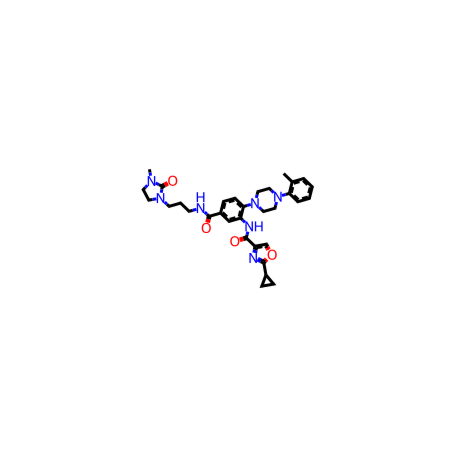 Cc1ccccc1N1CCN(c2ccc(C(=O)NCCCN3CCN(C)C3=O)cc2NC(=O)c2coc(C3CC3)n2)CC1